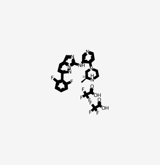 C[C@H]1CN(c2ccncc2Nc2ncc3ccc(-c4c(F)cccc4F)nn23)CCN1.O=C(O)C(F)(F)F.O=C(O)C(F)(F)F